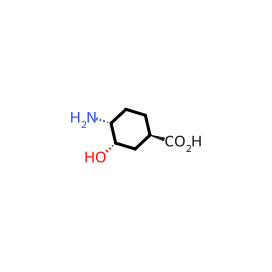 N[C@@H]1CC[C@@H](C(=O)O)C[C@@H]1O